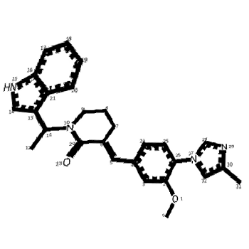 COc1cc(/C=C2\CCCN(C(C)c3c[nH]c4ccccc34)C2=O)ccc1-n1cnc(C)c1